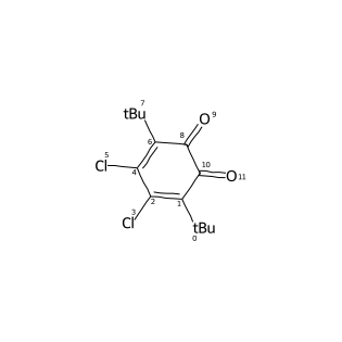 CC(C)(C)C1=C(Cl)C(Cl)=C(C(C)(C)C)C(=O)C1=O